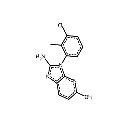 Cc1c(Cl)cccc1-n1c(N)nc2ccc(O)nc21